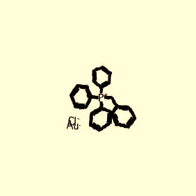 [Au].[Cl-].c1ccc(C[P+](c2ccccc2)(c2ccccc2)c2ccccc2)cc1